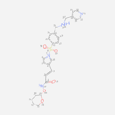 O=C(C=Cc1ccn(S(=O)(=O)c2ccc(CNCc3ccncc3)cc2)c1)NOC1CCCCO1